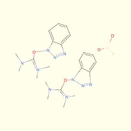 CN(C)C(On1nnc2ccccc21)=[N+](C)C.CN(C)C(On1nnc2ccccc21)=[N+](C)C.[O-]B([O-])F